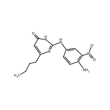 CCCCc1cc(=O)[nH]c(Nc2ccc(N)c([N+](=O)[O-])c2)n1